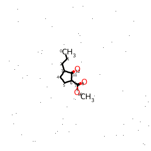 CCCC1CCC(C(=O)OC)C1=O